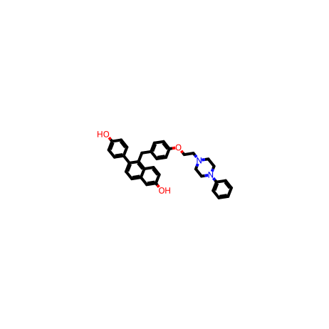 Oc1ccc(-c2ccc3cc(O)ccc3c2Cc2ccc(OCCN3CCN(c4ccccc4)CC3)cc2)cc1